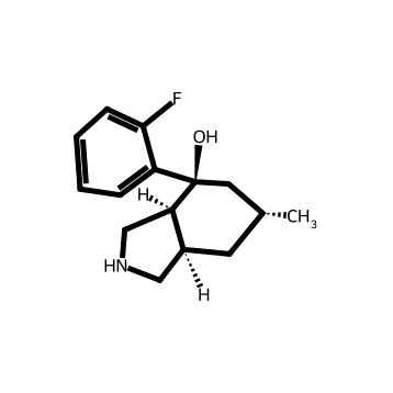 C[C@@H]1C[C@H]2CNC[C@H]2[C@](O)(c2ccccc2F)C1